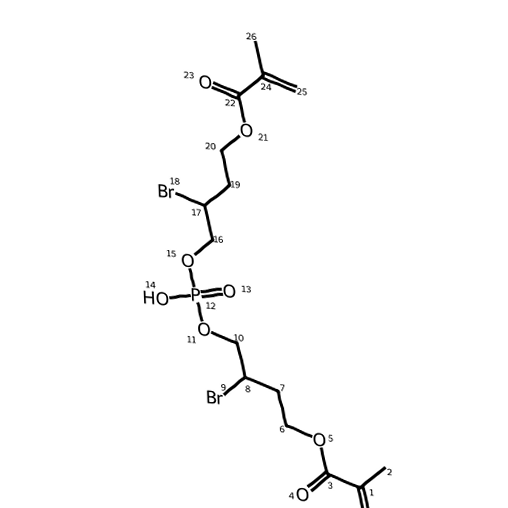 C=C(C)C(=O)OCCC(Br)COP(=O)(O)OCC(Br)CCOC(=O)C(=C)C